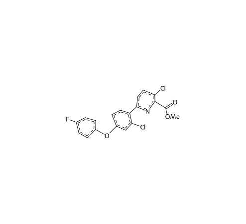 COC(=O)c1nc(-c2ccc(Oc3ccc(F)cc3)cc2Cl)ccc1Cl